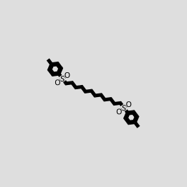 Cc1ccc(S(=O)(=O)CCCCCCCCCCCCS(=O)(=O)c2ccc(C)cc2)cc1